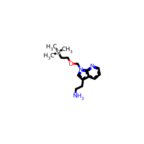 C[Si](C)(C)CCOCn1cc(CCN)c2cccnc21